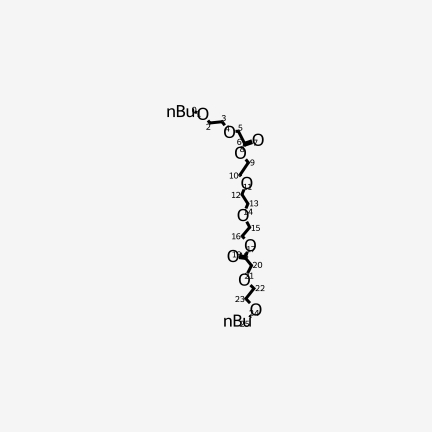 CCCCOCCOCC(=O)OCCOCCOCCOC(=O)COCCOCCCC